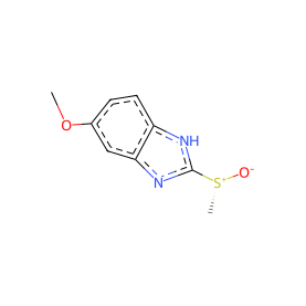 COc1ccc2[nH]c([S@@+](C)[O-])nc2c1